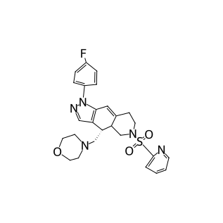 O=S(=O)(c1ccccn1)N1CCC2=Cc3c(cnn3-c3ccc(F)cc3)[C@@H](CN3CCOCC3)C2C1